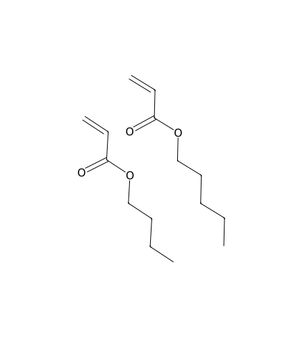 C=CC(=O)OCCCC.C=CC(=O)OCCCCC